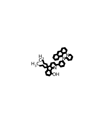 CCCCC1(CCCC)c2ccc(-c3cccc(N(c4ccccn4)c4c5ccccc5cc5ccccc45)c3)nc2-c2c(O)cccc21